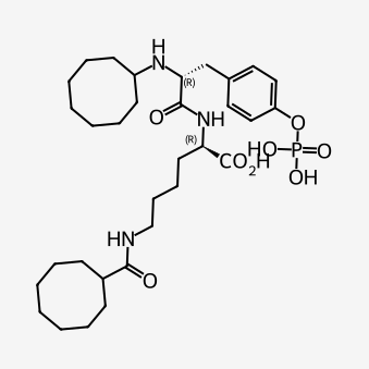 O=C(NCCCC[C@@H](NC(=O)[C@@H](Cc1ccc(OP(=O)(O)O)cc1)NC1CCCCCCC1)C(=O)O)C1CCCCCCC1